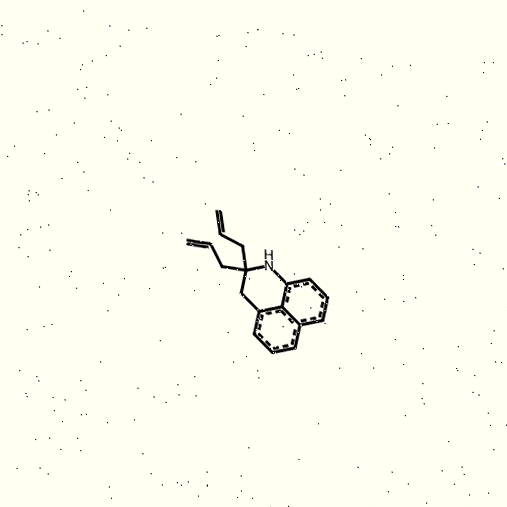 C=CCC1(CC=C)Cc2cccc3cccc(c23)N1